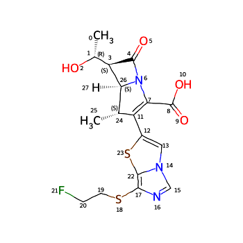 C[C@@H](O)[C@H]1C(=O)N2C(C(=O)O)=C(c3cn4cnc(SCCF)c4s3)[C@H](C)[C@@H]12